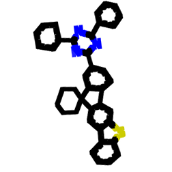 c1ccc(-c2nc(-c3ccccc3)nc(-c3ccc4c(c3)C3(CCCCC3)c3cc5c(cc3-4)sc3ccccc35)n2)cc1